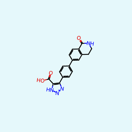 O=C1NCCc2cc(-c3ccc(-c4nn[nH]c4C(=O)O)cc3)ccc21